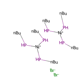 CCCC[PH][Ni+]([PH]CCCC)[PH]CCCC.CCCC[PH][Ni+]([PH]CCCC)[PH]CCCC.[Br-].[Br-]